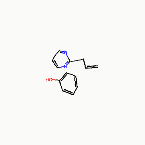 C=CCc1ncccn1.Oc1ccccc1